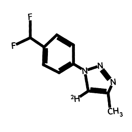 [2H]c1c(C)nnn1-c1ccc(C(F)F)cc1